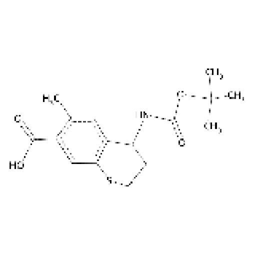 Cc1cc2c(cc1C(=O)O)SCCC2NC(=O)OC(C)(C)C